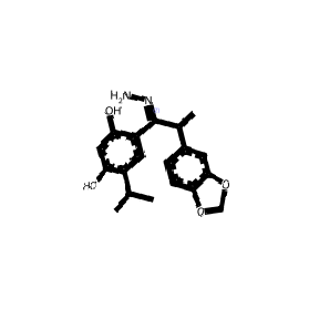 CC(C)c1cc(/C(=N\N)C(C)c2ccc3c(c2)OCO3)c(O)cc1O